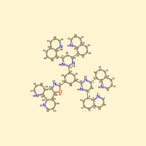 c1cnc2c(-c3cc(-c4cccc5cccnc45)nc(-c4cc(-c5nc(-c6cccc7cccnc67)cc(-c6cccc7cccnc67)n5)cc(-c5nc6c7cccnc7c7ncccc7c6o5)c4)n3)cccc2c1